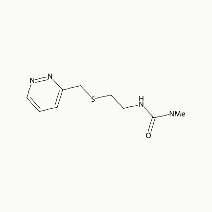 CNC(=O)NCCSCc1cccnn1